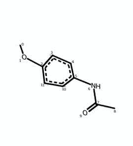 COc1[c]cc(NC(C)=O)[c]c1